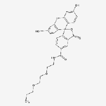 CCCOCCOCCNC(=O)c1ccc2c(c1)C(=O)OC21c2ccc(O)cc2Oc2cc(O)ccc21